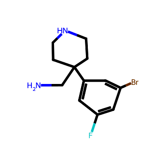 NCC1(c2cc(F)cc(Br)c2)CCNCC1